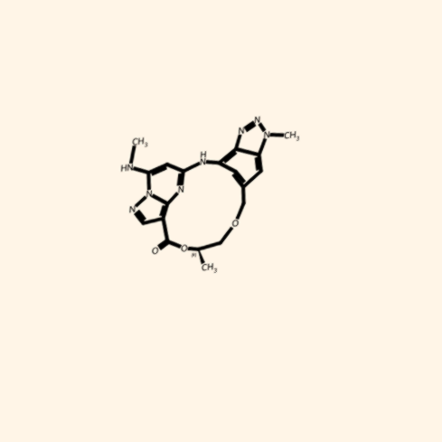 CNc1cc2nc3c(cnn13)C(=O)O[C@H](C)COCc1cc(c3nnn(C)c3c1)N2